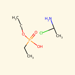 CC(N)Cl.CCOP(=O)(O)CC